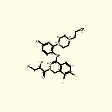 CC(C)CC(O)C(=O)NCc1c(C(=O)Nc2ccc(Cl)cc2N2CCN(CCC(F)(F)F)CC2)ccc(F)c1F